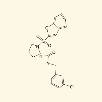 O=C(NCc1cccc(Cl)c1)[C@@H]1CCCN1S(=O)(=O)c1cc2ccccc2o1